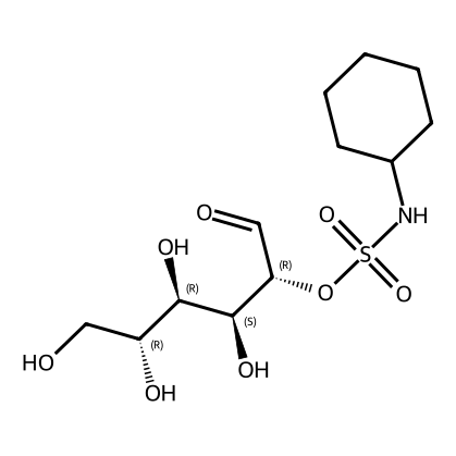 O=C[C@H](OS(=O)(=O)NC1CCCCC1)[C@@H](O)[C@H](O)[C@H](O)CO